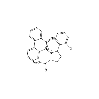 COC(=O)C1CCC(c2ccccc2Cl)N1C(=O)c1ccccc1-c1ccccc1C(=N)N